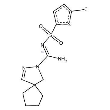 N/C(=N\S(=O)(=O)c1ccc(Cl)s1)N1CC2(C=N1)CCCC2